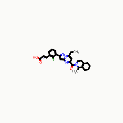 CCc1cc(C(=O)N2CCC3=C(CCCC3)C2C)nc2cc(-c3cccc(/C=C/C(=O)O)c3F)nn12